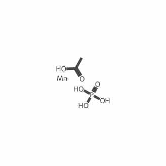 CC(=O)O.O=P(O)(O)O.[Mn]